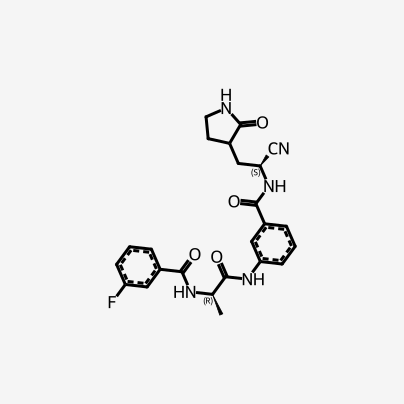 C[C@@H](NC(=O)c1cccc(F)c1)C(=O)Nc1cccc(C(=O)N[C@H](C#N)CC2CCNC2=O)c1